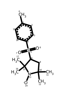 Cc1ccc(S(=O)(=O)C2CC(C)(C)N([O])C2(C)C)cc1